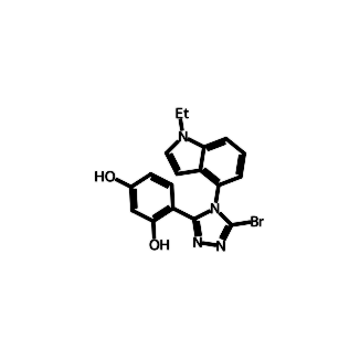 CCn1ccc2c(-n3c(Br)nnc3-c3ccc(O)cc3O)cccc21